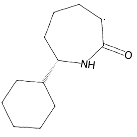 O=C1[CH]CCC[C@@H](C2CCCCC2)N1